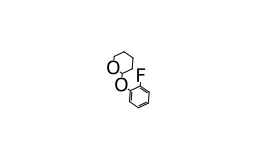 Fc1ccccc1OC1CCCCO1